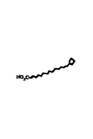 O=C(O)C=CCCCCCCCCCCCCCC1=CCCC1